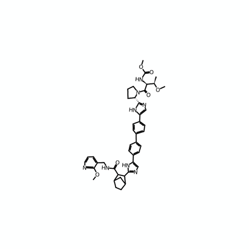 COC(=O)N[C@H](C(=O)N1CCC[C@H]1c1ncc(-c2ccc(-c3ccc(-c4cnc(C5C6CCC(C6)C5C(=O)NCc5cccnc5OC)[nH]4)cc3)cc2)[nH]1)[C@@H](C)OC